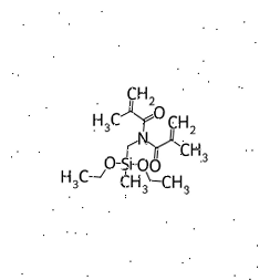 C=C(C)C(=O)N(C[Si](C)(OCC)OCC)C(=O)C(=C)C